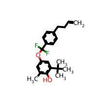 C=CCCc1ccc(C(F)(F)Oc2cc(C)c(O)c(C(C)(C)C)c2)cc1